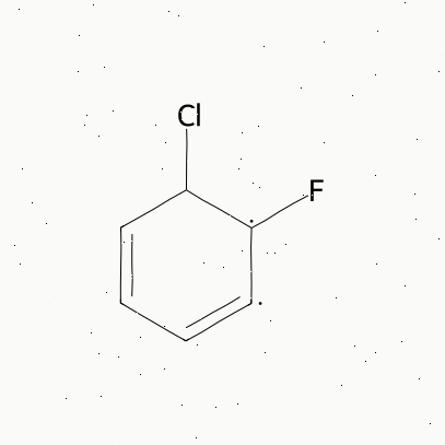 F[C]1[C]=CC=CC1Cl